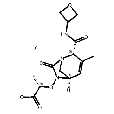 CC1=C[C@@H]2CN(C(=O)N2O[C@@H](F)C(=O)[O-])[C@@H]1C(=O)NC1COC1.[Li+]